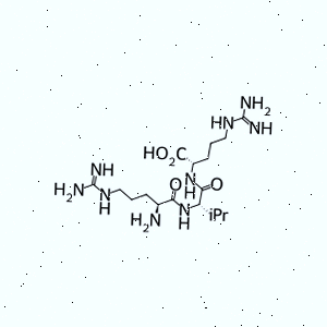 CC(C)[C@H](NC(=O)[C@@H](N)CCCNC(=N)N)C(=O)N[C@@H](CCCNC(=N)N)C(=O)O